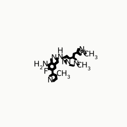 Cc1ccncc1-c1cc2cc(Nc3cc4n(n3)CCN(C)C/C4=C\c3cnn(C)c3)ncc2c(N)c1F